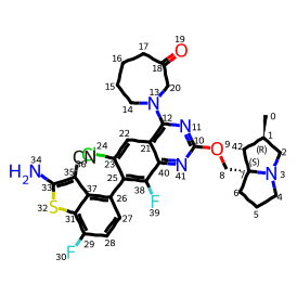 C[C@H]1CN2CCC[C@@]2(COc2nc(N3CCCCC(=O)C3)c3cc(Cl)c(-c4ccc(F)c5sc(N)c(C#N)c45)c(F)c3n2)C1